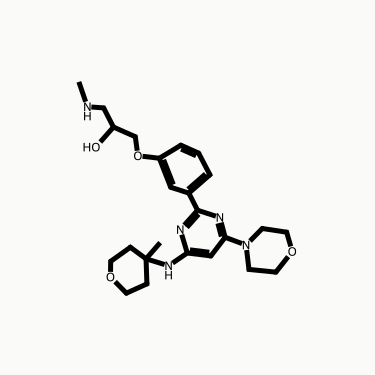 CNCC(O)COc1cccc(-c2nc(NC3(C)CCOCC3)cc(N3CCOCC3)n2)c1